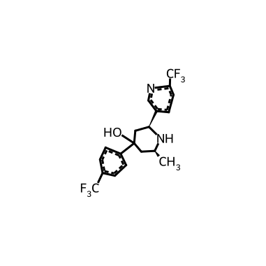 C[C@H]1CC(O)(c2ccc(C(F)(F)F)cc2)C[C@@H](c2ccc(C(F)(F)F)nc2)N1